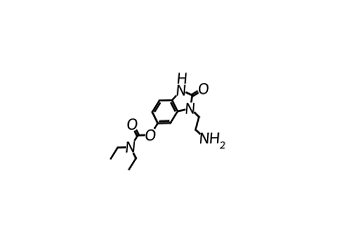 CCN(CC)C(=O)Oc1ccc2[nH]c(=O)n(CCN)c2c1